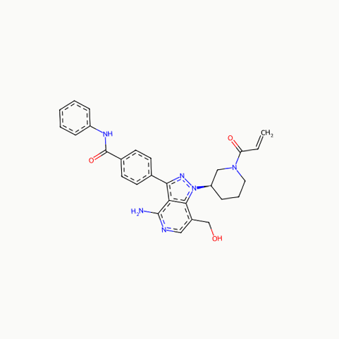 C=CC(=O)N1CCC[C@@H](n2nc(-c3ccc(C(=O)Nc4ccccc4)cc3)c3c(N)ncc(CO)c32)C1